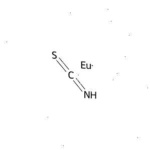 N=C=S.[Eu]